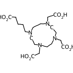 O=C(O)CCCCN1CCN(CC(=O)O)CCN(CC(=O)O)CCN(CC(=O)O)CC1